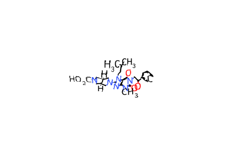 CC(C)=CCn1c(N2C[C@H]3CN(C(=O)O)C[C@H]3C2)nc2c1c(=O)n(CC(=O)c1ccccc1)c(=O)n2C